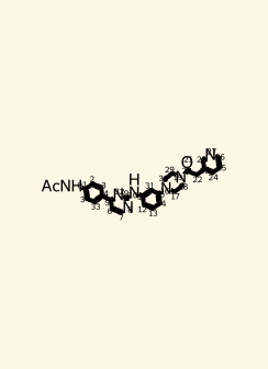 CC(=O)Nc1ccc(-c2ccnc(Nc3cccc(N4CCN(C(=O)Cc5cccnc5)CC4)c3)n2)cc1